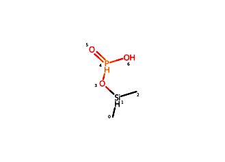 C[SiH](C)O[PH](=O)O